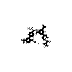 C[C@@H](NC(=O)c1cc(C2=CCN(C(=O)C3COC3)CC2)cc(C2CC2)c1)c1ccc(-c2cc(C(F)(F)F)ccc2CN)cc1